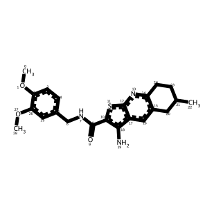 COc1ccc(CNC(=O)c2sc3nc4c(cc3c2N)CC(C)CC4)cc1OC